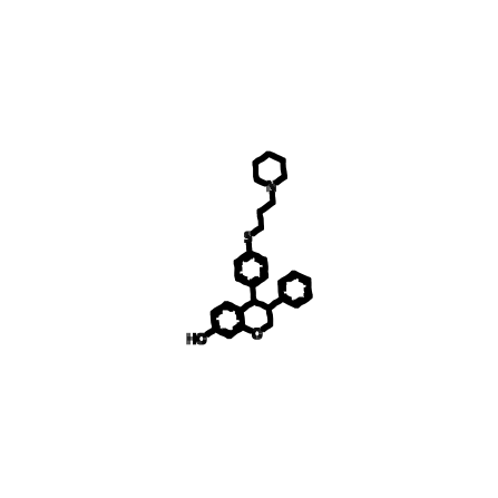 Oc1ccc2c(c1)OCC(c1ccccc1)C2c1ccc(SCCCN2CCCCC2)cc1